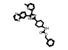 Cc1cccc(-c2nc(C3CCC(NC(=O)OCc4ccccc4)CC3)[nH]c2-c2ccc3nccnc3c2)n1